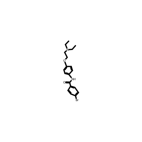 CCN(CC)CCOc1ccc(NC(=O)c2ccc(Br)cc2)cc1